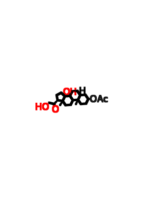 CC(=O)O[C@H]1CC[C@]2(C)C3CC[C@]4(C)[C@@H](C(=O)CO)CC[C@]4(O)C3CC[C@@H]2C1